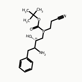 CC(C)(C)OC(=O)N(CCC#N)C[C@@H](O)C(N)Cc1ccccc1